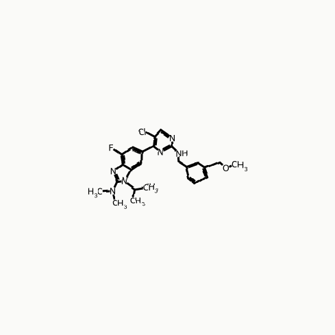 COCc1cccc(CNc2ncc(Cl)c(-c3cc(F)c4nc(N(C)C)n(C(C)C)c4c3)n2)c1